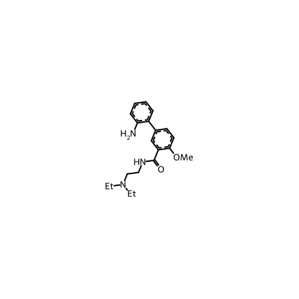 CCN(CC)CCNC(=O)c1cc(-c2ccccc2N)ccc1OC